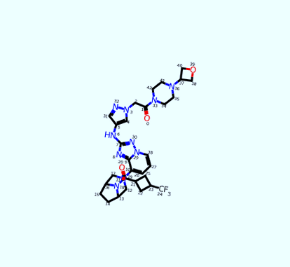 O=C(Cn1cc(Nc2nc3c(N4CC5CCC(C4)N5C(=O)C4CC(C(F)(F)F)C4)cccn3n2)cn1)N1CCN(C2COC2)CC1